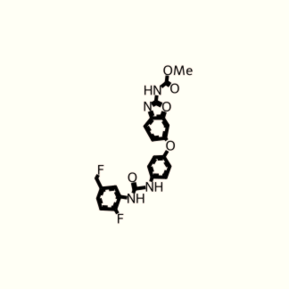 COC(=O)Nc1nc2ccc(Oc3ccc(NC(=O)Nc4cc(CF)ccc4F)cc3)cc2o1